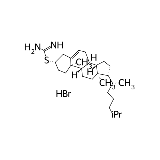 Br.CC(C)CCC[C@@H](C)[C@H]1CC[C@H]2[C@@H]3CC=C4C[C@@H](SC(=N)N)CC[C@]4(C)[C@H]3CC[C@]12C